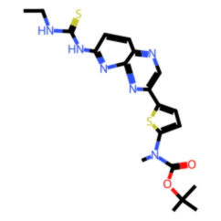 CCNC(=S)Nc1ccc2ncc(-c3ccc(N(C)C(=O)OC(C)(C)C)s3)nc2n1